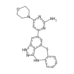 Nc1nc(-c2cc3c4c(n[nH]c4c2)Nc2ccccc2S3)cc(N2CCOCC2)n1